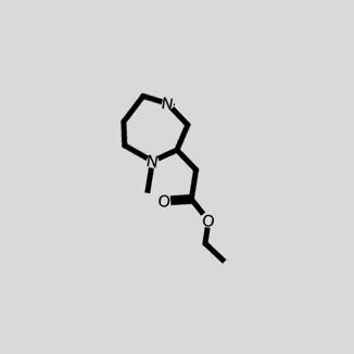 CCOC(=O)CC1C[N]CCCN1C